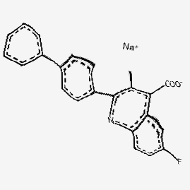 Cc1c(-c2ccc(-c3ccccc3)cc2)nc2ccc(F)cc2c1C(=O)[O-].[Na+]